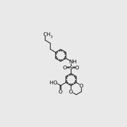 CCCCc1ccc(NS(=O)(=O)c2cc3c(c(C(=O)O)c2)OCCO3)cc1